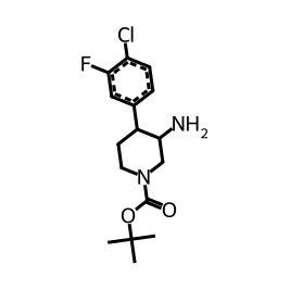 CC(C)(C)OC(=O)N1CCC(c2ccc(Cl)c(F)c2)C(N)C1